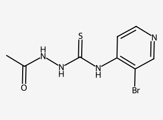 CC(=O)NNC(=S)Nc1ccncc1Br